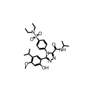 CCN(CC)S(=O)(=O)c1ccc(-n2c(C(=O)NC(C)C)nnc2-c2cc(C(C)C)c(OC)cc2O)cc1